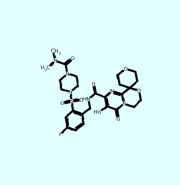 CN(C)C(=O)N1CCN(S(=O)(=O)c2cc(F)ccc2CNC(=O)c2nc3n(c(=O)c2O)CCOC32CCOCC2)CC1